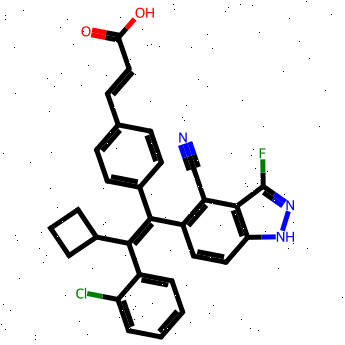 N#Cc1c(C(=C(c2ccccc2Cl)C2CCC2)c2ccc(C=CC(=O)O)cc2)ccc2[nH]nc(F)c12